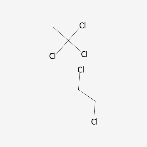 CC(Cl)(Cl)Cl.ClCCCl